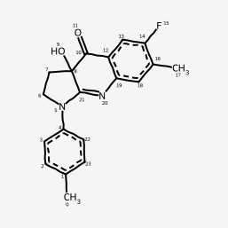 Cc1ccc(N2CCC3(O)C(=O)c4cc(F)c(C)cc4N=C23)cc1